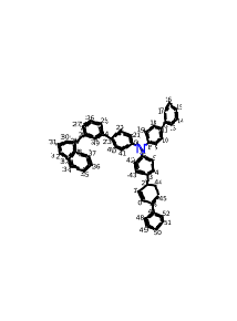 C1=CC(c2ccc(N(c3ccc(-c4ccccc4)cc3)c3ccc(-c4cccc(-c5cccc6ccccc56)c4)cc3)cc2)CC=C1c1ccccc1